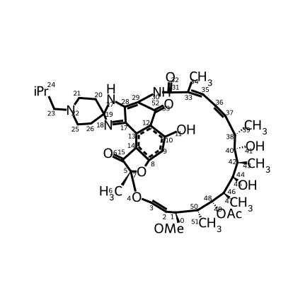 CO[C@H]1/C=C/O[C@@]2(C)Oc3cc(O)c4c(c3C2=O)C2=NC3(CCN(CC(C)C)CC3)NC2=C(NC(=O)/C(C)=C\C=C\[C@H](C)[C@H](O)[C@@H](C)[C@@H](O)[C@@H](C)[C@H](OC(C)=O)[C@@H]1C)C4=O